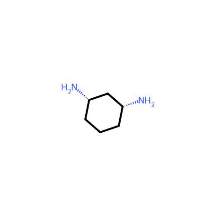 N[C@@H]1CCC[C@H](N)C1